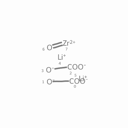 O=C([O-])[O-].O=C([O-])[O-].[Li+].[Li+].[O]=[Zr+2]